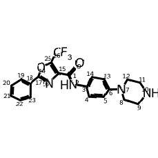 O=C(Nc1ccc(N2CCNCC2)cc1)c1nc(-c2ccccc2)oc1C(F)(F)F